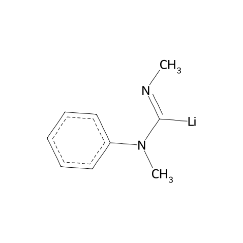 [Li][C](=NC)N(C)c1ccccc1